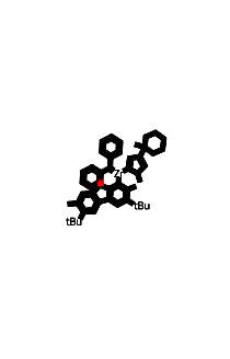 Cc1cc2c(cc1C(C)(C)C)-c1cc(C(C)(C)C)c(C)[c]([Zr]([C]3=CC(C4(C)CCCCC4)=CC3C)=[C](c3ccccc3)c3ccccc3)c1C2